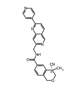 C[C@@]1(C#N)COCc2ccc(C(=O)NCc3cc4nc(-c5ccncc5)ccc4cn3)cc21